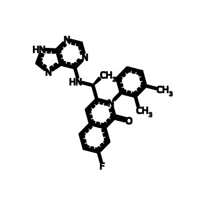 Cc1cccc(-n2c([C@H](C)Nc3ncnc4[nH]cnc34)cc3ccc(F)cc3c2=O)c1C